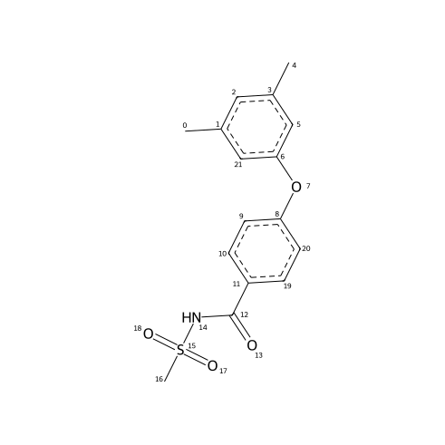 Cc1cc(C)cc(Oc2ccc(C(=O)NS(C)(=O)=O)cc2)c1